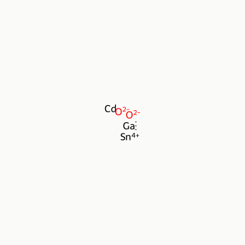 [Cd].[Ga].[O-2].[O-2].[Sn+4]